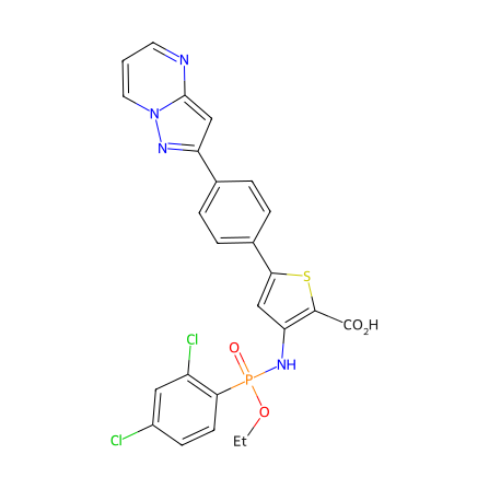 CCOP(=O)(Nc1cc(-c2ccc(-c3cc4ncccn4n3)cc2)sc1C(=O)O)c1ccc(Cl)cc1Cl